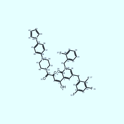 O=C(/C=C(/O)c1cc(Cc2cc(F)cc(F)c2F)cn(Cc2ccccc2F)c1=O)C(=O)N1CCN(c2ccc(-n3cccc3)cc2)CC1